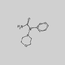 NC(=O)N(c1[c]cccc1)N1CCOCC1